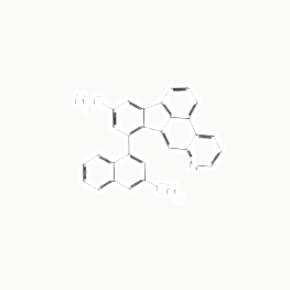 Cc1cc(-c2cc(C)cc3ccccc23)c2c(c1)-c1cccc3c1c-2cc1ncccc13